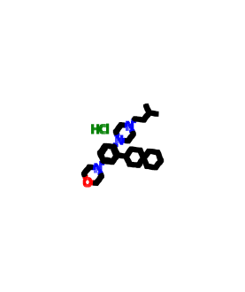 CC(C)CCN1CCN(c2ccc(N3CCOCC3)cc2C2CCC3(CCCCC3)CC2)CC1.Cl